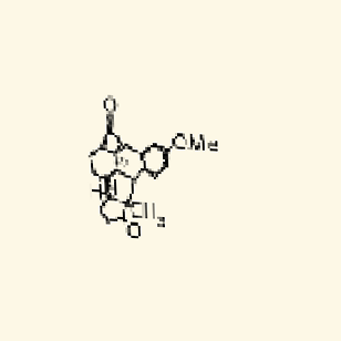 COc1ccc2c(c1)C[C@]13CCC(=O)C=C1CC[C@@H]1C3C2C[C@]2(C)C(=O)CC[C@@H]12